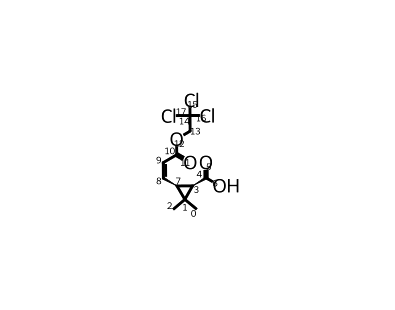 CC1(C)[C@H](C(=O)O)[C@@H]1/C=C\C(=O)OCC(Cl)(Cl)Cl